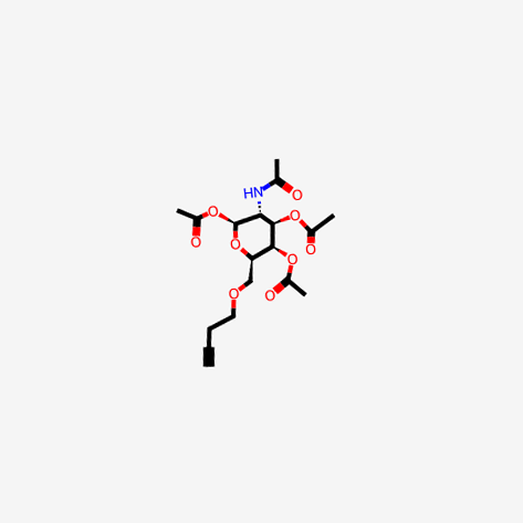 C#CCCOC[C@H]1O[C@@H](OC(C)=O)[C@H](NC(C)=O)[C@@H](OC(C)=O)[C@H]1OC(C)=O